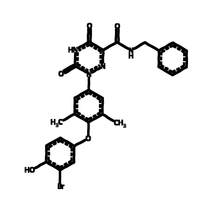 Cc1cc(-n2nc(C(=O)NCc3ccccc3)c(=O)[nH]c2=O)cc(C)c1Oc1ccc(O)c(Br)c1